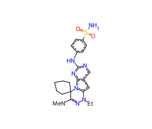 CCN1N=C(NC)C2(CCCCC2)n2c1cc1cnc(Nc3ccc(S(N)(=O)=O)cc3)nc12